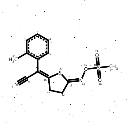 Cc1ccccc1/C(C#N)=C1/CC/C(=N/OS(C)(=O)=O)S1